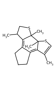 CC1=CSC2(C)C1=C1CCCC1=C1C(C)CSC12C